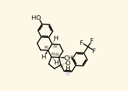 C[C@]12CC[C@@H]3c4ccc(O)cc4CC[C@H]3[C@@H]1CC[C@]2(O)/C=C\c1ccc(C(F)(F)F)cc1